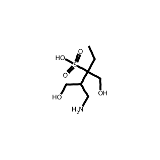 CCC(CO)(C(CN)CO)S(=O)(=O)O